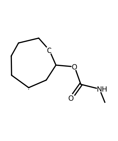 CNC(=O)OC1C[CH]CCCCC1